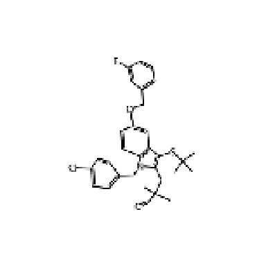 CC(C)(C=O)Cc1c(SC(C)(C)C)c2cc(OCc3cccc(F)c3)ccc2n1Cc1ccc(Cl)cc1